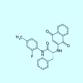 Cc1ccc(NC(=O)[C@@H](Cc2ccccc2)NC2=CC(=O)c3ccccc3C2=O)c(F)c1